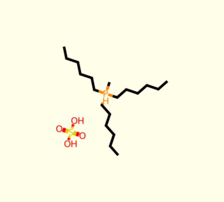 CCCCCC[PH](C)(CCCCCC)CCCCCC.O=S(=O)(O)O